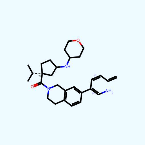 C=C/C=C\C(=C/N)c1ccc2c(c1)CN(C(=O)[C@@]1(C(C)C)CCC(NC3CCOCC3)C1)CC2